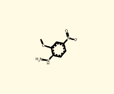 COc1cc([N+](=O)[O-])ccc1NN